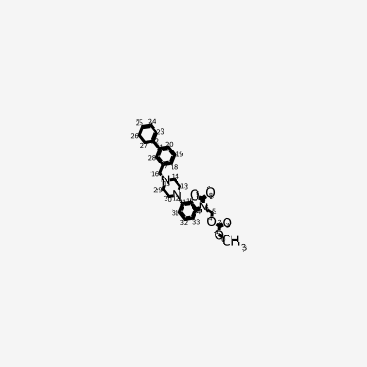 COC(=O)OCn1c(=O)oc2c(N3CCN(Cc4cccc(C5=CC=CCC5)c4)CC3)cccc21